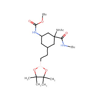 CC(=O)NC1(C(=O)NC(C)(C)C)CC(CCB2OC(C)(C)C(C)(C)O2)CC(NC(=O)OC(C)(C)C)C1